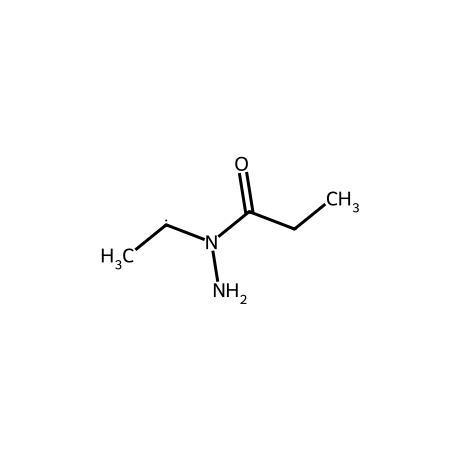 C[CH]N(N)C(=O)CC